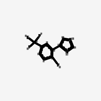 Fc1ccc(C(F)(F)F)cc1-c1cs[c]n1